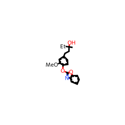 CCC(C)(O)CCc1ccc(Oc2nc3ccccc3o2)c(OC)c1